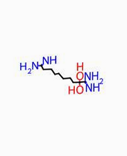 N=C(N)CCCCCCCC(O)(O)C(=N)N